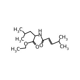 CCOC(=O)C(CC(C)C)NC(=O)/C=C/C(C)C